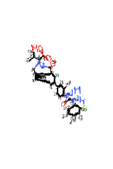 CC(C)[C@@H](C(=O)O)N1Cc2ccc(-c3ccc(NC(=O)Nc4ccccc4F)cc3)cc2C1=O